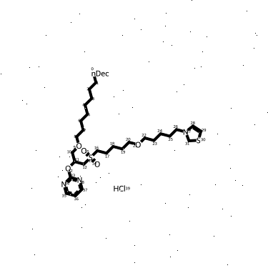 CCCCCCCCCCCCCCCCCCOCC(CS(=O)(=O)CCCCCOCCCCCN1C=CSC1)Oc1ncccn1.Cl